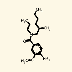 CCCCC(C)CN(CCC)C(=O)c1ccc(N)c(OC)c1